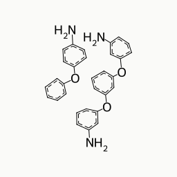 Nc1ccc(Oc2ccccc2)cc1.Nc1cccc(Oc2cccc(Oc3cccc(N)c3)c2)c1